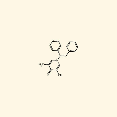 Cc1cn(N(Cc2ccccc2)c2ccccc2)cc(O)c1=O